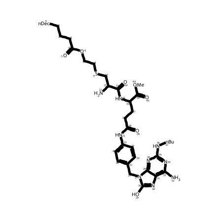 CCCCCCCCCCCCCC(=O)OCCSCC(N)C(=O)NC(CCC(=O)Nc1ccc(Cn2c(O)nc3c(N)nc(NCCCC)nc32)cc1)C(=O)OC